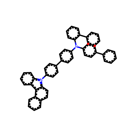 c1ccc(-c2ccc(N(c3ccc(-c4ccc(-n5c6ccccc6c6c7ccccc7ccc65)cc4)cc3)c3ccccc3-c3ccccc3)cc2)cc1